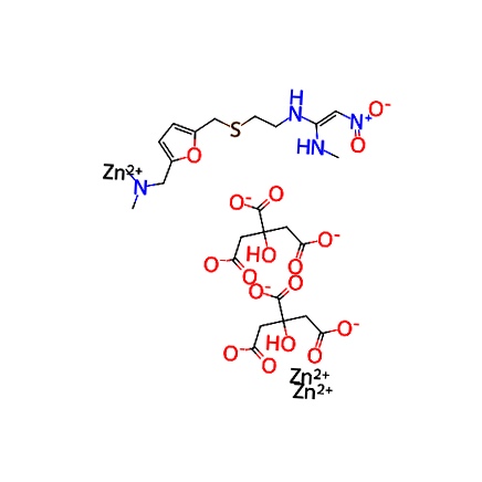 CNC(=C[N+](=O)[O-])NCCSCc1ccc(CN(C)C)o1.O=C([O-])CC(O)(CC(=O)[O-])C(=O)[O-].O=C([O-])CC(O)(CC(=O)[O-])C(=O)[O-].[Zn+2].[Zn+2].[Zn+2]